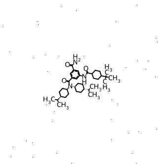 CC(C)[C@H]1CC[C@@H](N(C(=O)c2cc(NC(=O)C3CCC(C(C)(C)C)CC3)cc(C(N)=O)c2)[C@H]2CC[C@@H](C(C)C)CC2)CC1